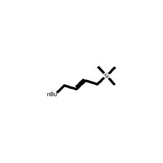 CCCCCC=CC[Si](C)(C)C